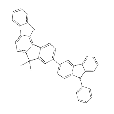 CC1(C)c2cc(-c3ccc4c(c3)c3ccccc3n4-c3ccccc3)ccc2-c2c1ccc1c2sc2ccccc21